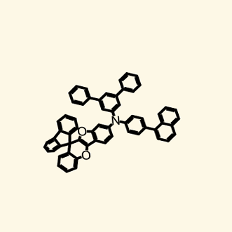 c1ccc(-c2cc(-c3ccccc3)cc(N(c3ccc(-c4cccc5ccccc45)cc3)c3ccc4c5c(oc4c3)C3(c4ccccc4O5)c4ccccc4-c4ccccc43)c2)cc1